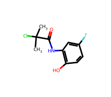 CC(C)(Cl)C(=O)Nc1cc(F)ccc1O